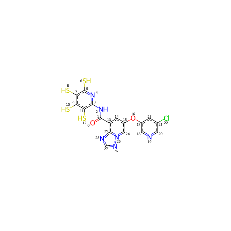 O=C(Nc1nc(S)c(S)c(S)c1S)c1cc(Oc2cncc(Cl)c2)cn2ncnc12